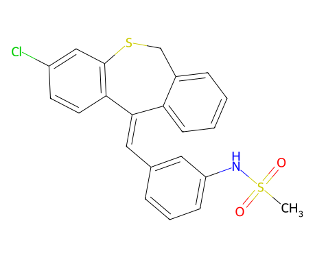 CS(=O)(=O)Nc1cccc(/C=C2\c3ccccc3CSc3cc(Cl)ccc32)c1